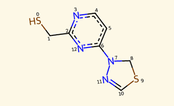 SCc1nccc(N2CSC=N2)n1